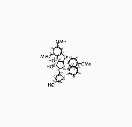 COc1ccc([C@@]23Oc4cc(OC)cc(OC)c4[C@]2(O)[C@H](O)[C@H](c2nnc(O)o2)[C@H]3c2ccccc2)cc1